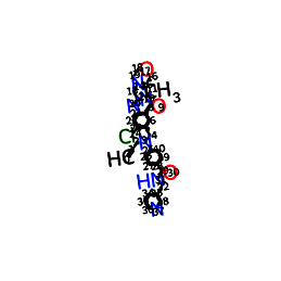 C#CCN(Cc1cc2c(=O)n(C)c(CN3CCOCC3)nc2cc1Cl)c1ccc(C(=O)NCc2cccnc2)cc1